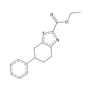 CCOC(=O)c1nc2c(s1)CC(c1ccccc1)CC2